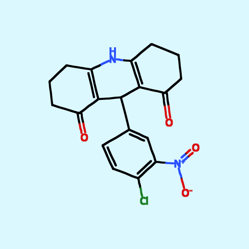 O=C1CCCC2=C1C(c1ccc(Cl)c([N+](=O)[O-])c1)C1=C(CCCC1=O)N2